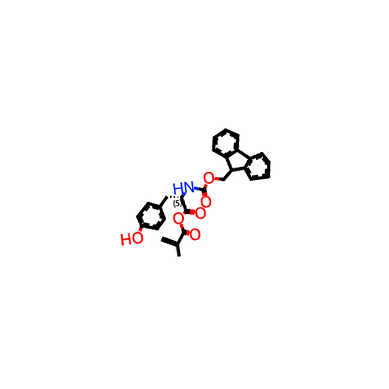 C=C(C)C(=O)OC(=O)[C@H](Cc1ccc(O)cc1)NC(=O)OCC1c2ccccc2-c2ccccc21